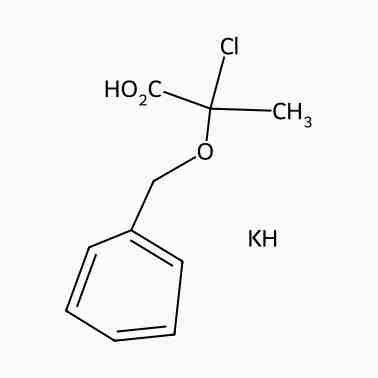 CC(Cl)(OCc1ccccc1)C(=O)O.[KH]